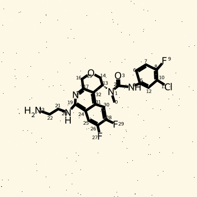 CN(C(=O)Nc1ccc(F)c(Cl)c1)[C@H]1COCc2nc(NCCN)c3cc(F)c(F)cc3c21